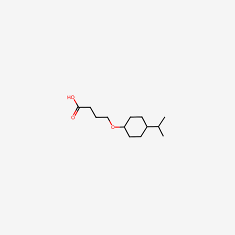 CC(C)C1CCC(OCCCC(=O)O)CC1